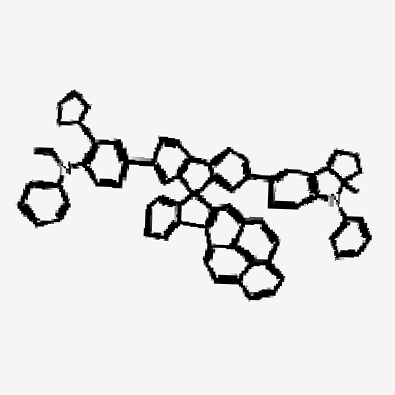 CCN(c1ccccc1)c1ccc(-c2ccc3c(c2)C2(c4cc(-c5ccc6c(c5)C5CCCC5(C)N6c5ccccc5)ccc4-3)c3ccccc3-c3c2cc2ccc4cccc5ccc3c2c45)cc1C1CCCC1